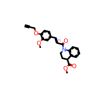 C#CCOc1ccc(/C=C/C(=O)N2CCC(C(=O)OC)c3ccccc32)cc1OC